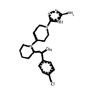 Nc1nnc(N2CCC(N3CCCCC3C(O)c3ccc(Cl)cc3)CC2)[nH]1